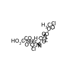 Cc1c(Cl)cccc1OCCOC(=O)N1CCCOc2c(-c3cnn(Cc4c(F)cc(C(=O)N[C@@H](CC(=O)O)C(=O)O)cc4Cl)c3)cccc21